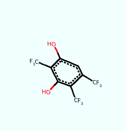 Oc1cc(C(F)(F)F)c(C(F)(F)F)c(O)c1C(F)(F)F